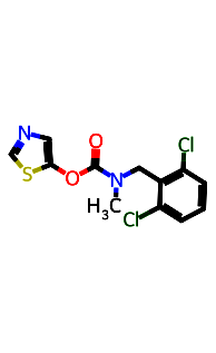 CN(Cc1c(Cl)cccc1Cl)C(=O)Oc1cncs1